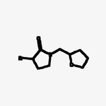 O=C1C(Br)CCN1CC1CCCO1